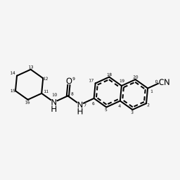 N#Cc1ccc2cc(NC(=O)NC3CCCCC3)ccc2c1